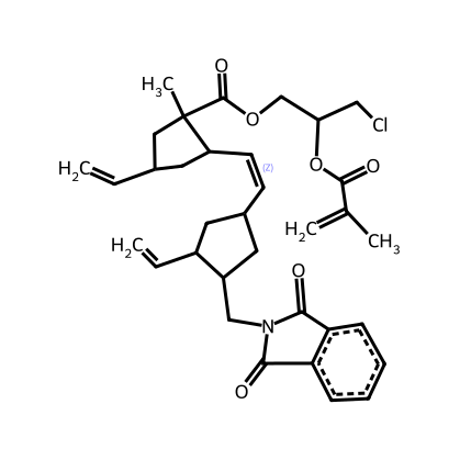 C=CC1CC(/C=C\C2CC(C=C)C(CN3C(=O)c4ccccc4C3=O)C2)C(C)(C(=O)OCC(CCl)OC(=O)C(=C)C)C1